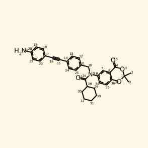 CC1(C)OC(=O)c2cc(N(Cc3ccc(C#Cc4ccc(N)cc4)cc3)C(=O)C3CCCCC3)ccc2O1